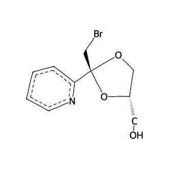 OC[C@H]1CO[C@@](CBr)(c2ccccn2)O1